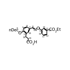 CCCCCCCCCCOc1ccc(C=NOc2cccc(C(=O)OCC)c2)cc1CCC(=O)O